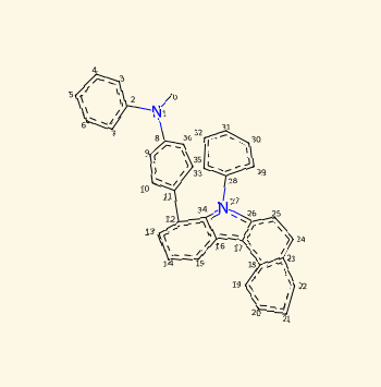 CN(c1ccccc1)c1ccc(-c2cccc3c4c5ccccc5ccc4n(-c4ccccc4)c23)cc1